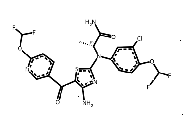 C[C@H](C(N)=O)N(c1ccc(OC(F)F)c(Cl)c1)c1nc(N)c(C(=O)c2ccc(OC(F)F)nc2)s1